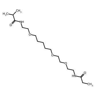 CCC(=O)NCCOCCOCCCCCOCCNC(=O)C(C)C